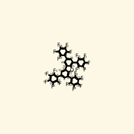 Fc1c(F)c(F)c(-c2cc(-c3c(F)c(F)c(F)c(F)c3F)c3oc4c(-c5c(F)c(F)c(F)c(F)c5F)cc(-c5c(F)c(F)c(F)c(F)c5F)cc4c3c2)c(F)c1F